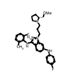 COC[C@H]1CCCN1CCCn1nc(Nc2c(C)cccc2C)c2ccc(Nc3ccc(F)cc3)cc21